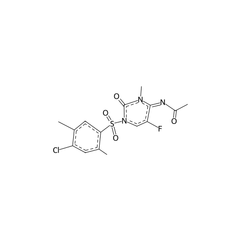 CC(=O)/N=c1\c(F)cn(S(=O)(=O)c2cc(C)c(Cl)cc2C)c(=O)n1C